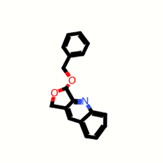 c1ccc(COC2OCc3cc4ccccc4nc32)cc1